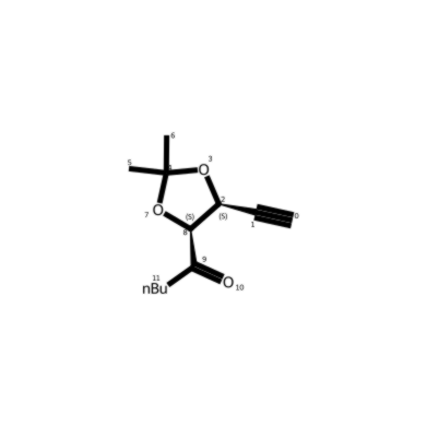 C#C[C@@H]1OC(C)(C)O[C@@H]1C(=O)CCCC